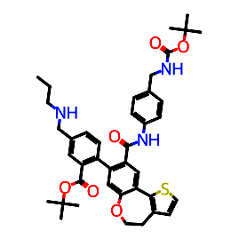 CCCNCc1ccc(-c2cc3c(cc2C(=O)Nc2ccc(CNC(=O)OC(C)(C)C)cc2)-c2sccc2CCO3)c(C(=O)OC(C)(C)C)c1